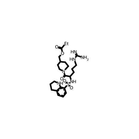 CCC(=O)OCC1CCN(C(=O)C(CCCNC(=N)N)NS(=O)(=O)c2cccc3c2NCCC3)CC1